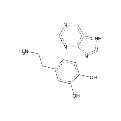 NCCc1ccc(O)c(O)c1.c1ncc2[nH]cnc2n1